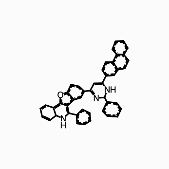 C1=CC2=c3oc4ccc(C5=NC(c6ccccc6)NC(c6ccc7c(ccc8ccccc87)c6)=C5)cc4c3=C(c3ccccc3)NC2C=C1